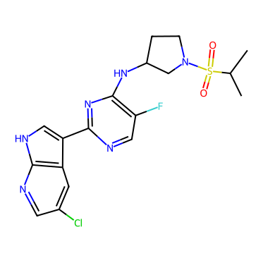 CC(C)S(=O)(=O)N1CCC(Nc2nc(-c3c[nH]c4ncc(Cl)cc34)ncc2F)C1